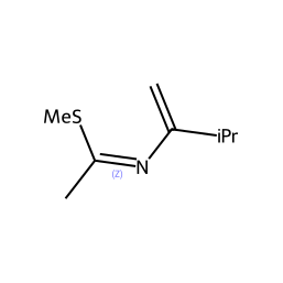 C=C(/N=C(/C)SC)C(C)C